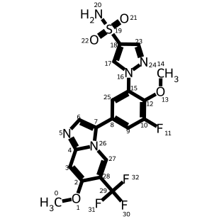 COc1cc2ncc(-c3cc(F)c(OC)c(-n4cc(S(N)(=O)=O)cn4)c3)n2cc1C(F)(F)F